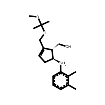 COC(C)(C)OCC1=CC[C@H]([SiH2]c2cccc(C)c2C)[C@H]1CO